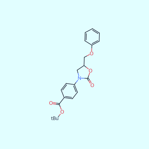 CC(C)(C)OC(=O)c1ccc(N2CC(COc3ccccc3)OC2=O)cc1